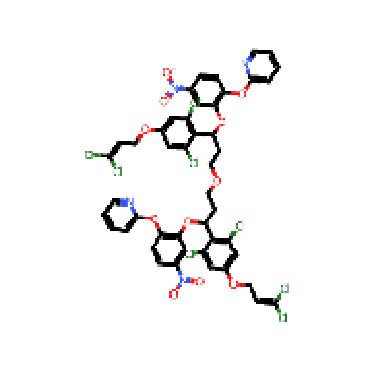 O=[N+]([O-])c1ccc(Oc2ccccn2)c(OC(CCOCCC(Oc2cc([N+](=O)[O-])ccc2Oc2ccccn2)c2c(Cl)cc(OCC=C(Cl)Cl)cc2Cl)c2c(Cl)cc(OCC=C(Cl)Cl)cc2Cl)c1